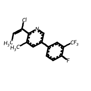 C/C=C(/Cl)c1ncc(-c2ccc(F)c(C(F)(F)F)c2)cc1C